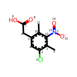 Cc1c(Cl)cc(CC(=O)O)c(C)c1[N+](=O)[O-]